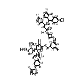 C=C(N[C@@H](C)c1ccc(-c2scnc2C)cc1)[C@@H]1C[C@@H](O)CN1C(=O)[C@@H](NC(=O)CCc1cc(F)cc(O[C@H]2C[C@H](NC(=O)CC3N=C(c4ccc(Cl)cc4)c4c(sc(C)c4C)-n4c3cnc4C)C2)c1)C(C)(C)C